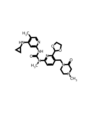 Cc1cnc(NC(=O)N(C)c2ccc(CN3CCN(C)CC3=O)c(C3OCCO3)n2)cc1NC1CC1